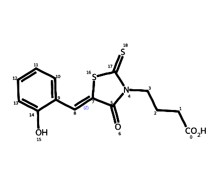 O=C(O)CCCN1C(=O)/C(=C/c2ccccc2O)SC1=S